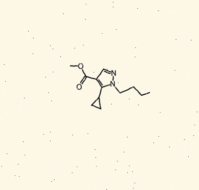 CCCCn1ncc(C(=O)OC)c1C1CC1